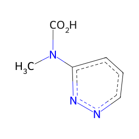 CN(C(=O)O)c1cccnn1